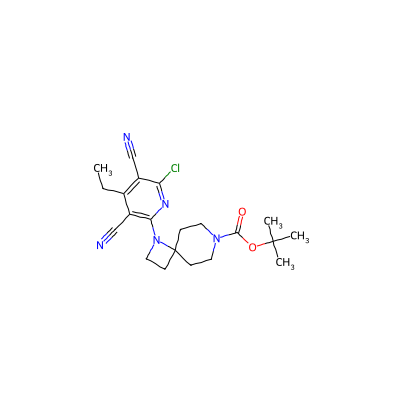 CCc1c(C#N)c(Cl)nc(N2CCC23CCN(C(=O)OC(C)(C)C)CC3)c1C#N